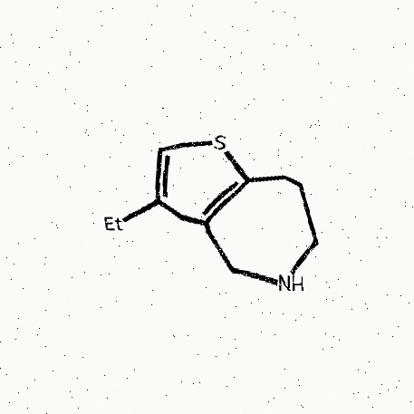 CCc1csc2c1CNCC2